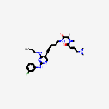 C[C@@H](C(=O)NCCCC#Cc1cnc(Nc2cccc(F)c2)nc1NCCC#N)N(C)C(=O)/C=C/CN(C)C